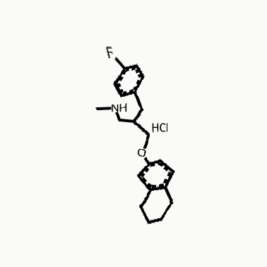 CNCC(COc1ccc2c(c1)CCCC2)Cc1ccc(F)cc1.Cl